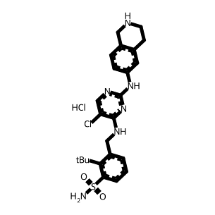 CC(C)(C)c1c(CNc2nc(Nc3ccc4c(c3)CCNC4)ncc2Cl)cccc1S(N)(=O)=O.Cl